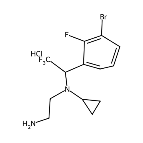 Cl.NCCN(C1CC1)C(c1cccc(Br)c1F)C(F)(F)F